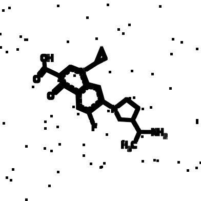 CC(N)C1CCN(c2cc3c(cc2F)c(=O)c(C(=O)O)cn3C2CC2)C1